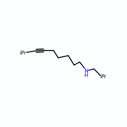 CC(C)C#CCCCCCNCC(C)C